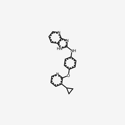 c1cnc(Oc2ccc(Nc3nc4ncccc4[nH]3)cc2)c(C2CC2)c1